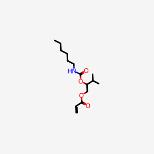 C=CC(=O)OCC(OC(=O)NCCCCCC)C(C)C